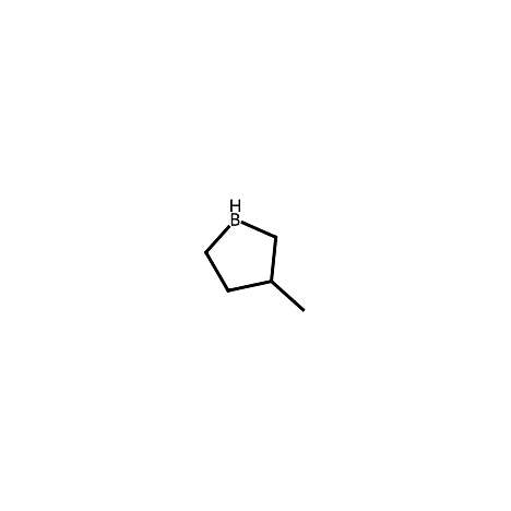 CC1CBCC1